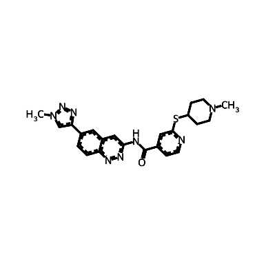 CN1CCC(Sc2cc(C(=O)Nc3cc4cc(-c5cn(C)nn5)ccc4nn3)ccn2)CC1